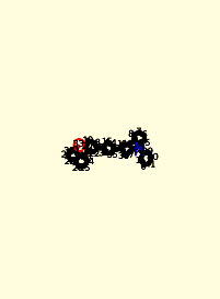 C1=CC(n2c3ccccc3c3cc(-c4ccc(-c5ccc6c(c5)-c5cccc7cccc(c57)O6)cc4)ccc32)=CCC1